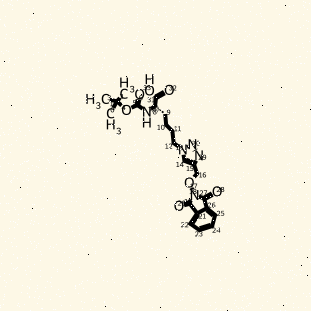 CC(C)(C)OC(=O)N[C@@H](CCCCn1cc(CON2C(=O)c3ccccc3C2=O)nn1)C(=O)O